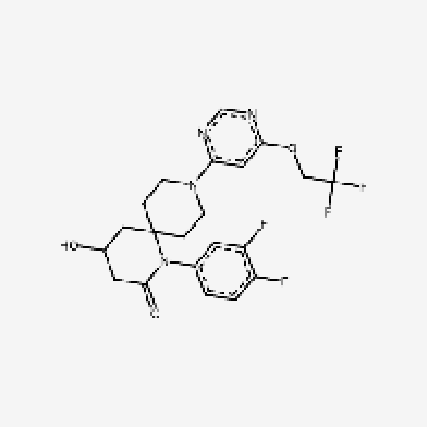 O=C1CC(O)CC2(CCN(c3cc(OCC(F)(F)F)ncn3)CC2)N1c1ccc(F)c(F)c1